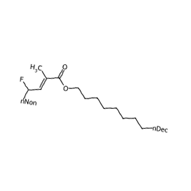 CCCCCCCCCCCCCCCCCCOC(=O)C(C)=CC(F)CCCCCCCCC